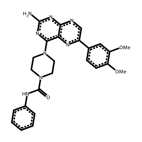 COc1ccc(-c2cnc3nc(N)nc(N4CCN(C(=O)Nc5ccccc5)CC4)c3n2)cc1OC